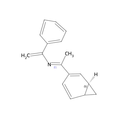 C=C(/N=C(\C)C1=C[C@H]2CC2C=C1)c1ccccc1